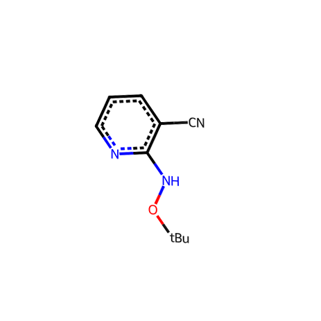 CC(C)(C)ONc1ncccc1C#N